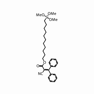 CO[Si](CCCCCCCCCCCOC(=O)C(C#N)=C(c1ccccc1)c1ccccc1)(OC)OC